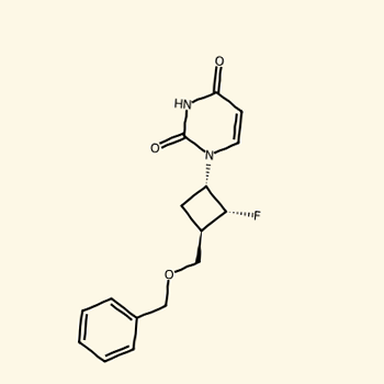 O=c1ccn([C@H]2C[C@H](COCc3ccccc3)[C@H]2F)c(=O)[nH]1